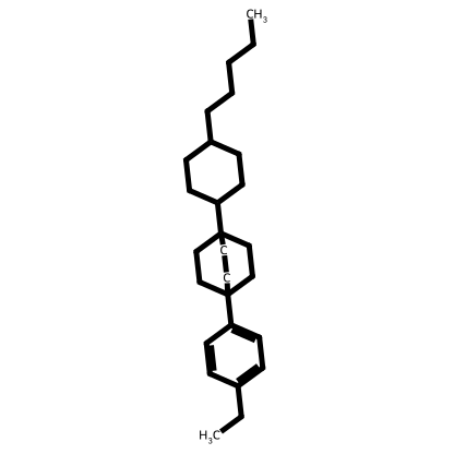 CCCCCC1CCC(C23CCC(c4ccc(CC)cc4)(CC2)CC3)CC1